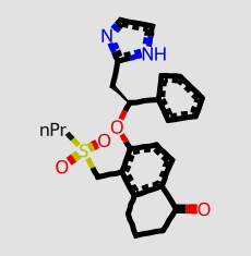 CCCS(=O)(=O)Cc1c(O[C@@H](Cc2ncc[nH]2)c2ccccc2)ccc2c1CCCC2=O